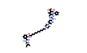 CC(=O)c1c(C)c2cnc(Nc3ccc(N4CCN(CCCCCCCCCCCC(=O)Nc5ccccc5C(=O)Nc5nc(C)c(C)s5)CC4)cn3)nc2n(C2CCCC2)c1=O